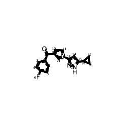 O=C(c1ccc(F)cc1)c1ccn(-c2cc(C3CC3)[nH]n2)c1